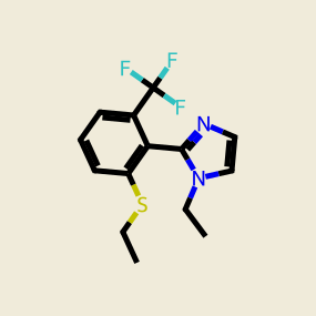 CCSc1cccc(C(F)(F)F)c1-c1nccn1CC